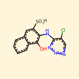 O=S(=O)(O)c1cc2ccccc2c(O)c1Nc1nnncc1Cl